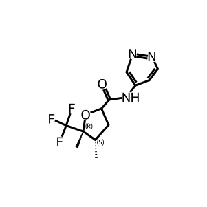 C[C@H]1CC(C(=O)Nc2ccnnc2)O[C@@]1(C)C(F)(F)F